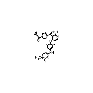 CC1(C)CN=C(Nc2cc(F)c(Oc3ccnc4[nH]cc(C5=CCN(C(=O)C6CC6)CC5)c34)c(F)c2)OC1